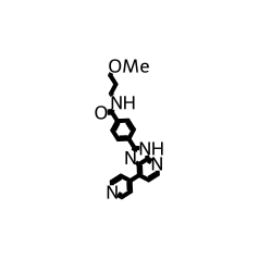 COCCCNC(=O)c1ccc(-c2nc3c(-c4ccncc4)ccnc3[nH]2)cc1